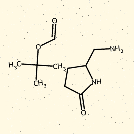 CC(C)(C)OC=O.NCC1CCC(=O)N1